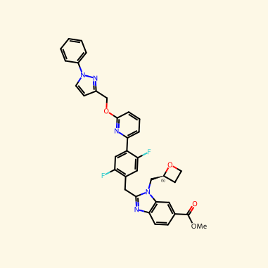 COC(=O)c1ccc2nc(Cc3cc(F)c(-c4cccc(OCc5ccn(-c6ccccc6)n5)n4)cc3F)n(C[C@@H]3CCO3)c2c1